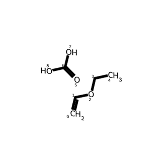 C=COCC.O=C(O)O